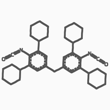 O=C=Nc1c(C2CCCCC2)cc(Cc2cc(C3CCCCC3)c(N=C=O)c(C3CCCCC3)c2)cc1C1CCCCC1